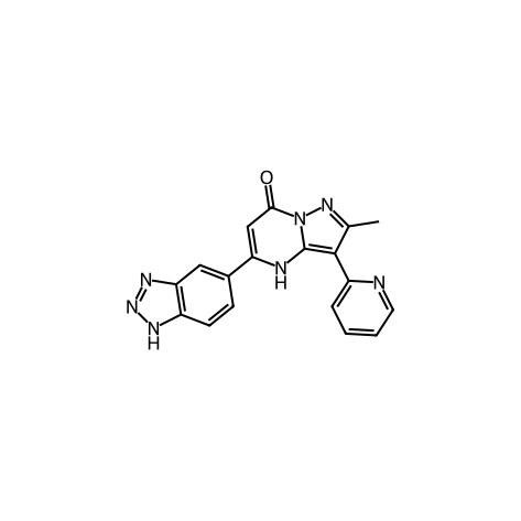 Cc1nn2c(=O)cc(-c3ccc4[nH]nnc4c3)[nH]c2c1-c1ccccn1